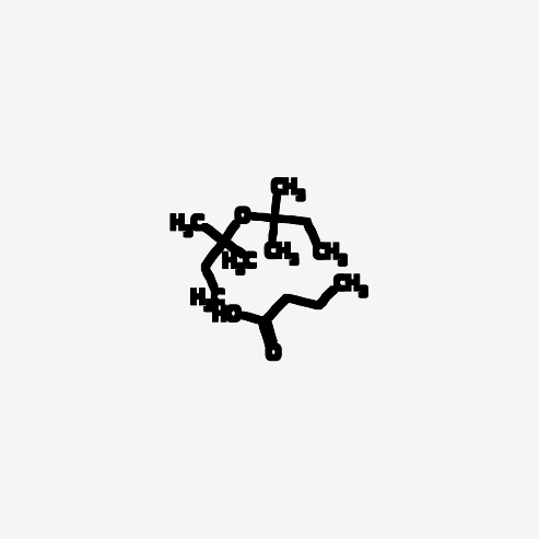 CCC(C)(C)OC(C)(C)CC.CCCC(=O)O